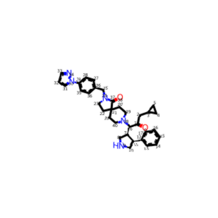 O=C(CC1CC1)C([C@@H]1CNC[C@@H]1c1ccccc1)N1CCC2(CCN(Cc3ccc(-n4cccn4)cc3)C2=O)CC1